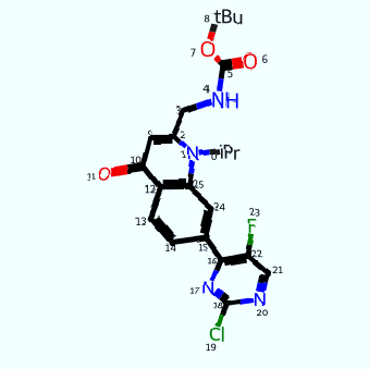 CC(C)n1c(CNC(=O)OC(C)(C)C)cc(=O)c2ccc(-c3nc(Cl)ncc3F)cc21